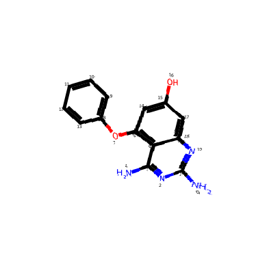 Nc1nc(N)c2c(Oc3ccccc3)cc(O)cc2n1